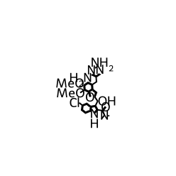 COc1cc(Cc2cnc(N)nc2N)c2cc(C(O)c3c(C(=O)N(C)C)[nH]c4ccc(Cl)cc34)oc2c1OC